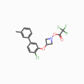 Cc1cccc(-c2ccc(Cl)c(OC3CN(OC(=O)C(F)(F)F)C3)c2)c1